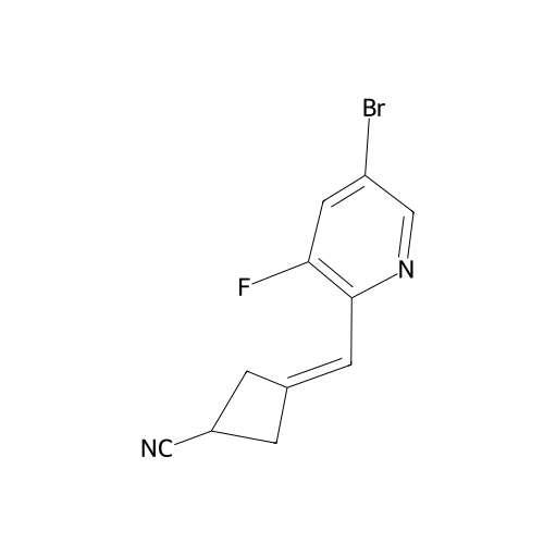 N#CC1CC(=Cc2ncc(Br)cc2F)C1